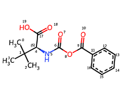 CC(C)(C)[C@H](NC(=O)OC(=O)c1ccccc1)C(=O)O